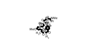 CC[C@H](C)[C@@H]([C@@H](CC(=O)N1C[C@H](OC)CC1[C@H](OC)[C@@H](C)C(=O)N[C@H](C)C(=O)c1ccc(F)cc1)OC)N(C)C(=O)[C@@H](NC(=O)[C@@H](NC)C(C)C)C(C)C